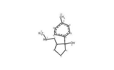 CNCC1CCCC1(O)c1ccc(C)cc1